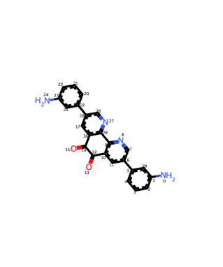 Nc1cccc(-c2cnc3c(c2)C(=O)C(=O)c2cc(-c4cccc(N)c4)cnc2-3)c1